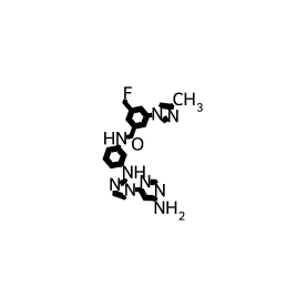 Cc1cn(-c2cc(CF)cc(C(=O)Nc3cccc(Nc4nccn4-c4cc(N)ncn4)c3)c2)cn1